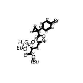 CCOP(C)(=O)C(Cc1noc(C2(c3ccc(Br)cc3)CC2)n1)C(=O)OC(C)(C)C